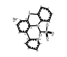 CCC(N1c2ccccc2Sc2cccc(-c3ccccn3)c21)S(=O)(=O)[O-].[Na+]